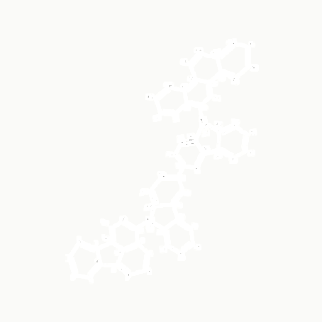 c1ccc2c(c1)-c1cccc3c(-n4c5ccccc5c5cc(-c6ccc7c(c6)c6ccccc6n7-c6cc7c8ccccc8ccc7c7ccccc67)ccc54)ccc-2c13